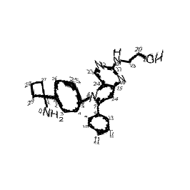 NC1(c2ccc(-n3c(-c4ccccc4)cc4nc(NCCO)ncc43)cc2)CCC1